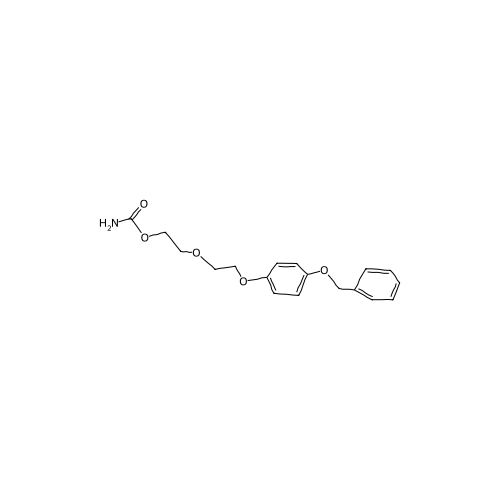 NC(=O)OCCOCCOc1ccc(OCc2ccccc2)cc1